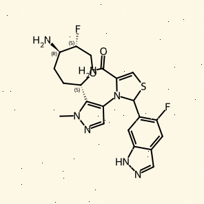 Cn1ncc(N2C(C(N)=O)=CSC2c2cc3[nH]ncc3cc2F)c1[C@@H]1CC[C@@H](N)[C@H](F)CO1